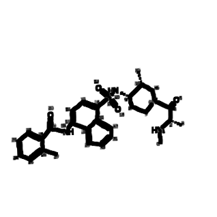 CN[C@@H](C)C(=O)N1CC[C@H](NS(=O)(=O)c2ccc(NC(=O)c3ccccc3C)c3ccccc23)[C@H](C)C1